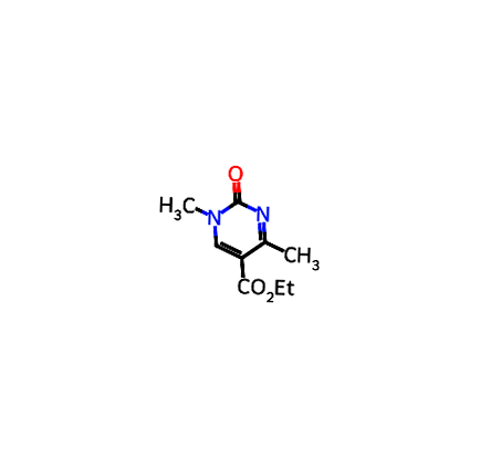 CCOC(=O)c1cn(C)c(=O)nc1C